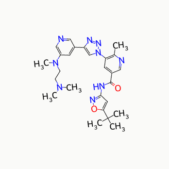 Cc1ncc(C(=O)Nc2cc(C(C)(C)C)on2)cc1-n1cc(-c2cncc(N(C)CCN(C)C)c2)nn1